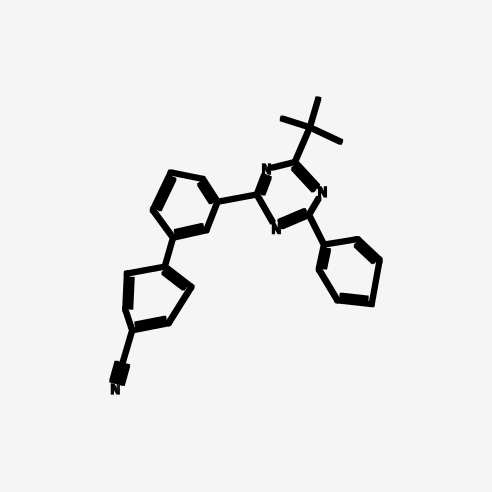 CC(C)(C)c1nc(-c2ccccc2)nc(-c2cccc(-c3ccc(C#N)cc3)c2)n1